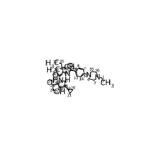 CCN1CCN(c2ccc(C(=O)NC(C(=O)N3C[C@@H](C4CC4)[C@H]4OCC(=O)[C@H]43)C(C)(C)CC)cc2)CC1